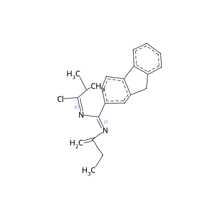 C=C(CC)/N=C(\N=C(\Cl)C(C)C)c1ccc2c(c1)Cc1ccccc1-2